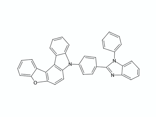 c1ccc(-n2c(-c3ccc(-n4c5ccccc5c5c6c(ccc54)oc4ccccc46)cc3)nc3ccccc32)cc1